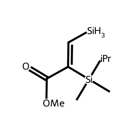 COC(=O)C(=C[SiH3])[Si](C)(C)C(C)C